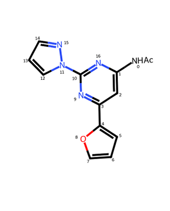 CC(=O)Nc1cc(-c2ccco2)nc(-n2cccn2)n1